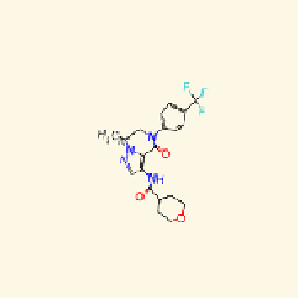 C[C@H]1CN(c2ccc(C(F)(F)F)cc2)C(=O)c2c(NC(=O)C3CCOCC3)cnn21